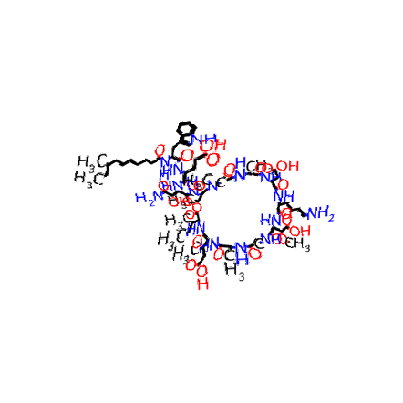 CCC(C)CCCCCCC(=O)NC(Cc1c[nH]c2ccccc12)C(=O)NC(CCC(=O)O)C(=O)NC(C(=O)NC1C(=O)N(C)CC(=O)NC(C)C(=O)NC(CC(=O)O)C(=O)NC(CCCCN)C(=O)NC(C(OC)C(=O)O)C(=O)NCC(=O)NC(C)C(=O)NC(C(C)CC(=O)O)C(=O)NC(C(C)CC)C(=O)OC1C)C(O)C(N)=O